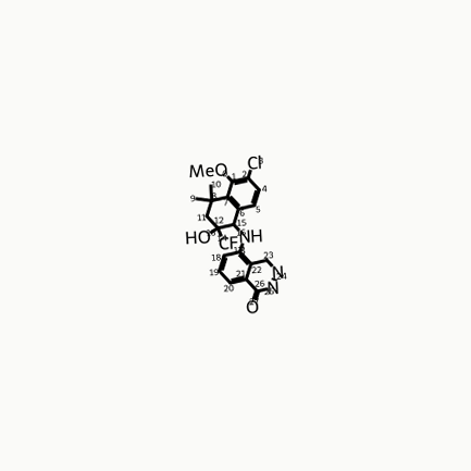 COc1c(Cl)ccc2c1C(C)(C)CC(O)(C(F)(F)F)C2Nc1cccc2c1CN=NC2=O